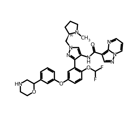 CN1CCC[C@@H]1Cn1cc(NC(=O)c2cnn3cccnc23)c(-c2cc(Oc3cccc(C4CNCCO4)c3)ccc2OC(F)F)n1